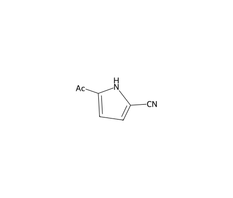 CC(=O)c1ccc(C#N)[nH]1